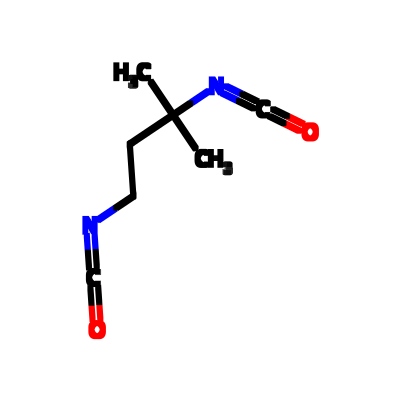 CC(C)(CCN=C=O)N=C=O